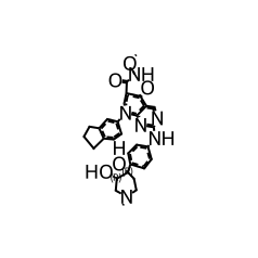 CONC(=O)c1cn(-c2ccc3c(c2)CCC3)c2nc(Nc3ccc([C@]4(O)CCN(C)C[C@H]4O)cc3)ncc2c1=O